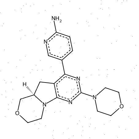 Nc1ccc(-c2nc(N3CCOCC3)nc3c2C[C@@H]2COCCN32)cn1